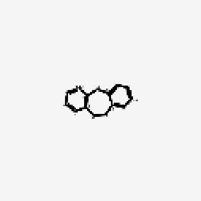 [c]1ccnc2c1CCc1ccccc1C2